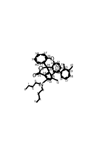 CCCCN(CCCC)c1cc(C)c(Nc2cccc(C)c2C)c2c1C(=O)OC21c2ccccc2Oc2ccccc21